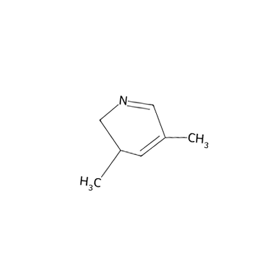 CC1=CC(C)CN=C1